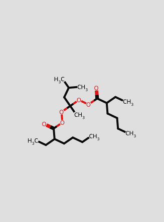 CCCCC(CC)C(=O)OOC(C)(CC(C)C)OOC(=O)C(CC)CCCC